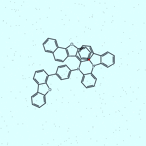 c1ccc(-n2c3ccccc3c3ccccc32)c(N(c2ccc(-c3cccc4c3oc3ccccc34)cc2)c2cccc3oc4c5ccccc5ccc4c23)c1